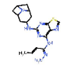 C/C=C/C(=N\N)Nc1nc(NC2CC3CC4CC(C2)N34)nc2scnc12